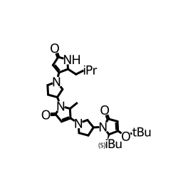 CC[C@H](C)C1C(OC(C)(C)C)=CC(=O)N1C1CCN(C2=CC(=O)N(C3CCN(C4=CC(=O)NC4CC(C)C)C3)C2C)C1